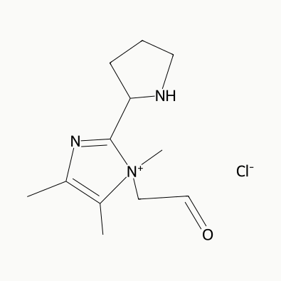 CC1=C(C)[N+](C)(CC=O)C(C2CCCN2)=N1.[Cl-]